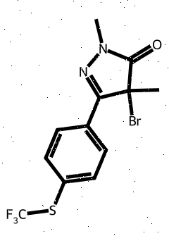 CN1N=C(c2ccc(SC(F)(F)F)cc2)C(C)(Br)C1=O